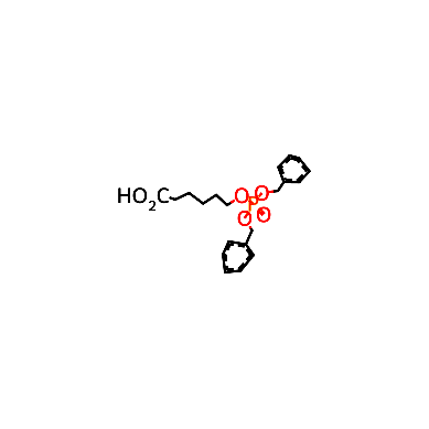 O=C(O)CCCCCOP(=O)(OCc1ccccc1)OCc1ccccc1